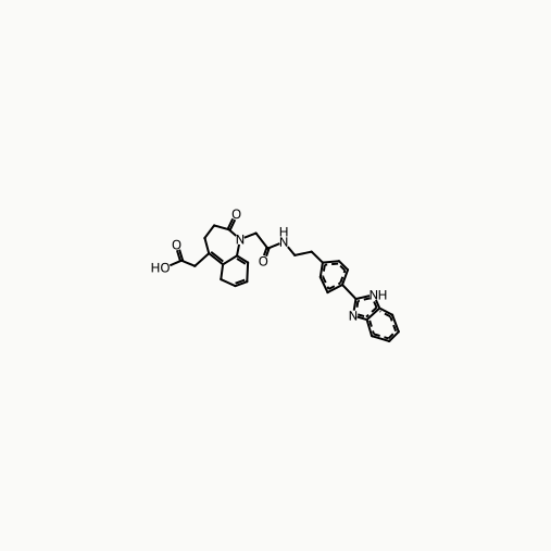 O=C(O)CC1=C2CC=CC=C2N(CC(=O)NCCc2ccc(-c3nc4ccccc4[nH]3)cc2)C(=O)CC1